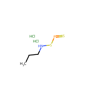 CCCNSP=S.Cl.Cl